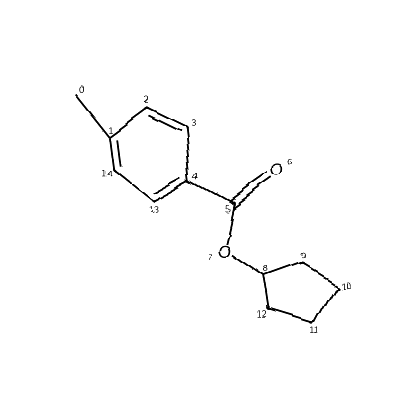 Cc1ccc(C(=O)OC2CCCC2)cc1